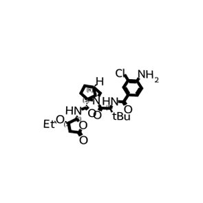 CCO[C@H]1CC(=O)O[C@H]1NC(=O)[C@@]12CC[C@@H](CN1C(=O)[C@@H](NC(=O)c1ccc(N)c(Cl)c1)C(C)(C)C)C2